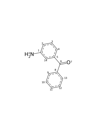 Nc1cccc(C(=O)c2c[c]ccc2)c1